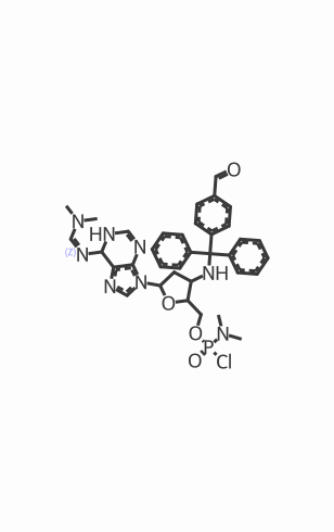 CN(C)/C=N\C1NC=Nc2c1ncn2C1CC(NC(c2ccccc2)(c2ccccc2)c2ccc(C=O)cc2)C(COP(=O)(Cl)N(C)C)O1